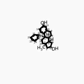 C[C@@]12C[C@H](O)C[C@H]1[C@@H]1CCc3cc(O)ccc3[C@H]1[C@@H](c1ccccc1)C2